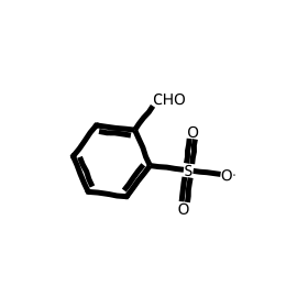 [O]S(=O)(=O)c1ccccc1C=O